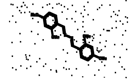 COc1ccc(C=NN=Cc2ccc(OC)cc2OC)c(OC)c1